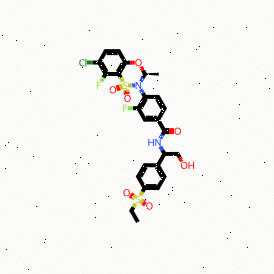 CCS(=O)(=O)c1ccc(C(CO)NC(=O)c2ccc(N3[C@H](C)Oc4ccc(Cl)c(F)c4S3(=O)=O)c(F)c2)cc1